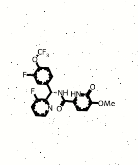 COc1ccc(C(=O)N[C@@H](c2ccc(OC(F)(F)F)c(F)c2)c2ncccc2F)[nH]c1=O